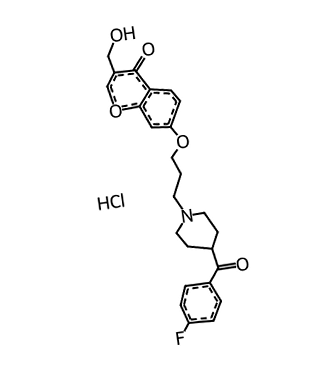 Cl.O=C(c1ccc(F)cc1)C1CCN(CCCOc2ccc3c(=O)c(CO)coc3c2)CC1